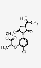 COC(=O)C(C)Oc1cc(N2C(=O)CC(=C(C)C)C2=O)ccc1Cl